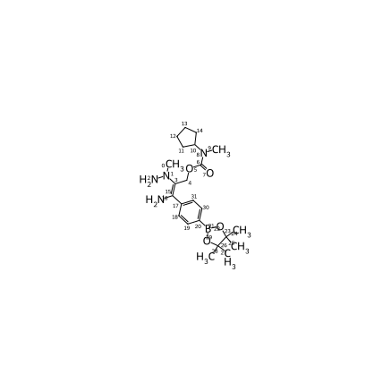 CN(N)/C(COC(=O)N(C)C1CCCC1)=C(\N)c1ccc(B2OC(C)(C)C(C)(C)O2)cc1